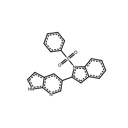 O=S(=O)(c1ccccc1)n1c(-c2cnc3[nH]ccc3c2)cc2ccccc21